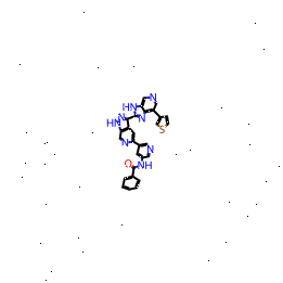 O=C(Nc1cncc(-c2cc3c(-c4nc5c(-c6ccsc6)cncc5[nH]4)n[nH]c3cn2)c1)c1ccccc1